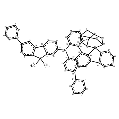 CC1(C)c2ccc(-c3ccccc3)cc2-c2ccc(N(c3ccc(-c4ccccc4)cc3)c3ccccc3-c3cccc4c3C3(c5ccccc5-4)C4CC5CC(C4)CC3C5)cc21